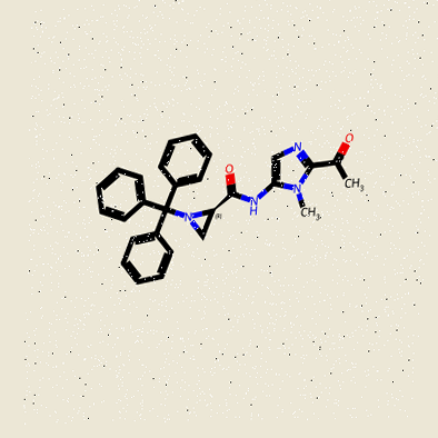 CC(=O)c1ncc(NC(=O)[C@H]2CN2C(c2ccccc2)(c2ccccc2)c2ccccc2)n1C